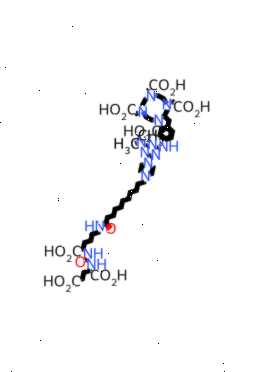 CN(C)c1nc(Nc2ccc(CC3CN(CC(=O)O)CCN(CC(=O)O)CCN(CC(=O)O)CCN3CC(=O)O)cc2)nc(N2CCN(CCCCCCCCCCC(=O)NCCCCC(NC(=O)NC(CCC(=O)O)C(=O)O)C(=O)O)CC2)n1